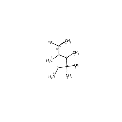 CC(C(C)C(C)(O)CN)[C@H](C)F